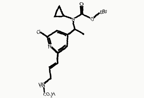 CC(c1cc(Cl)nc(C=CCNC(=O)O)c1)N(C(=O)OC(C)(C)C)C1CC1